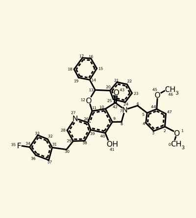 COc1ccc(CN2Cc3c(c(OC(c4ccccc4)c4ccccc4)c4ncc(Cc5ccc(F)cc5)cc4c3O)C2=O)c(OC)c1